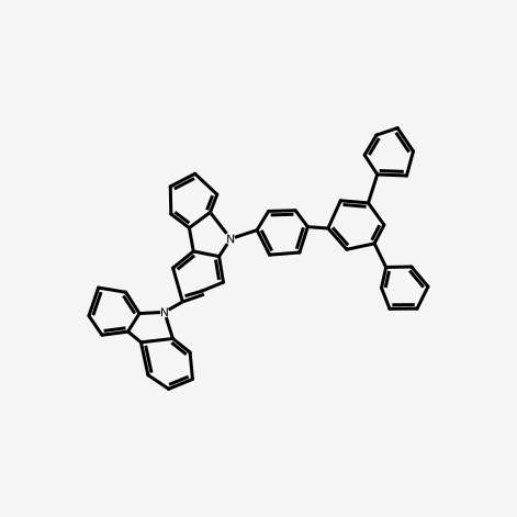 c1ccc(-c2cc(-c3ccccc3)cc(-c3ccc(-n4c5ccccc5c5cc(-n6c7ccccc7c7ccccc76)ccc54)cc3)c2)cc1